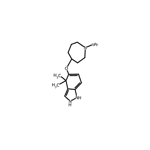 CCCN1CCCC(OC2=CC=C3NNC=C3C2(C)C)CC1